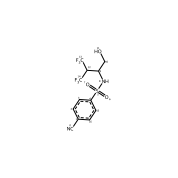 N#Cc1ccc(S(=O)(=O)NC(CO)C(C(F)(F)F)C(F)(F)F)cc1